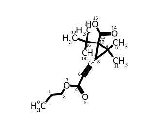 CCCOC(=O)C#C[C@H]1C(C)(C)[C@]1(C(=O)O)C(C)(C)C